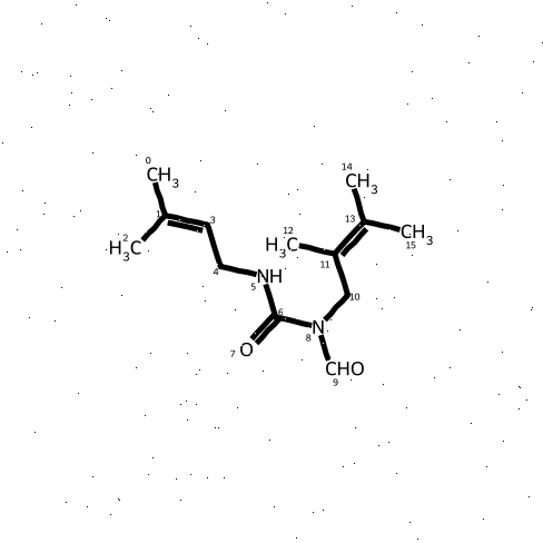 CC(C)=CCNC(=O)N(C=O)CC(C)=C(C)C